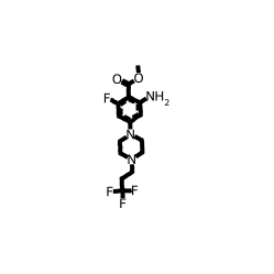 COC(=O)c1c(N)cc(N2CCN(CCC(F)(F)F)CC2)cc1F